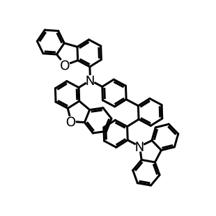 c1ccc(-c2ccccc2-n2c3ccccc3c3ccccc32)c(-c2ccc(N(c3cccc4c3oc3ccccc34)c3cccc4oc5ccccc5c34)cc2)c1